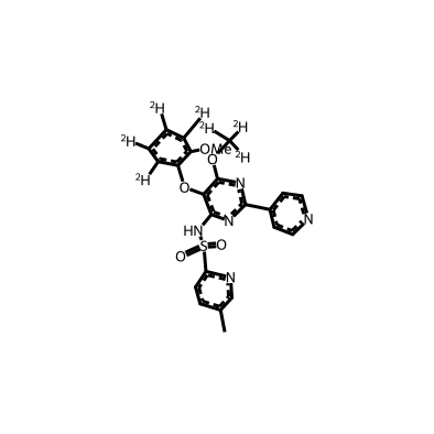 [2H]c1c([2H])c([2H])c(Oc2c(NS(=O)(=O)c3ccc(C)cn3)nc(-c3ccncc3)nc2OC([2H])([2H])[2H])c(OC)c1[2H]